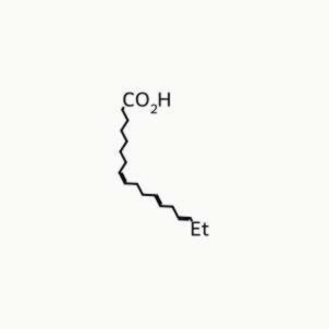 CCC=CCC=CCC/C=C\CCCCCCC(=O)O